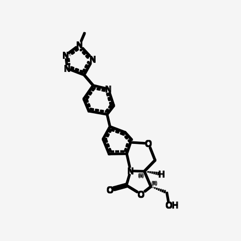 Cn1nnc(-c2ccc(-c3ccc4c(c3)OC[C@H]3[C@H](CO)OC(=O)N43)cn2)n1